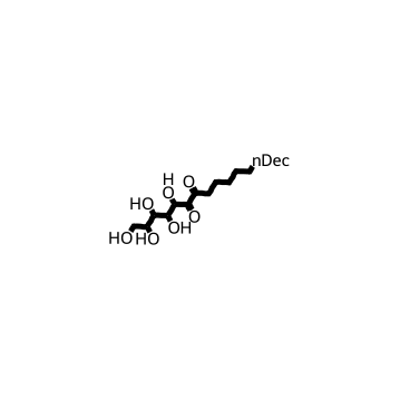 CCCCCCCCCCCCCCCC(=O)C(=O)C(O)C(O)C(O)C(O)CO